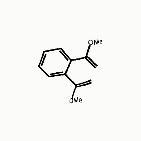 C=C(OC)c1ccccc1C(=C)OC